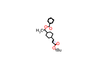 CC(OC(=O)c1ccccc1)C1CCC(/C=C/C(=O)OC(C)(C)C)CC1